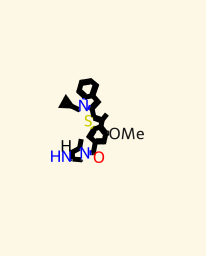 COc1cc(C(=O)N2CC3N[C@H]3C2C)cc2sc(-c3cc4ccccc4n3CC3CC3)c(C)c12